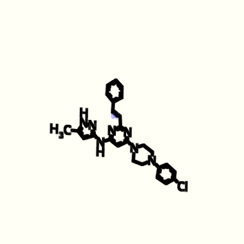 Cc1cc(Nc2cc(N3CCN(c4ccc(Cl)cc4)CC3)nc(/C=C/c3ccccc3)n2)n[nH]1